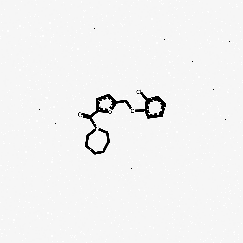 O=C(c1ccc(COc2ccccc2Cl)o1)N1CCCCCC1